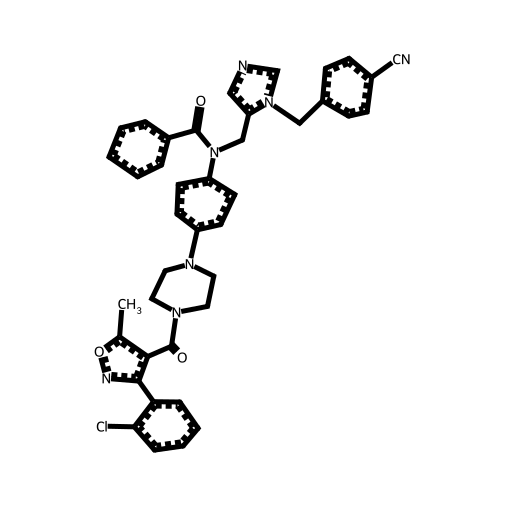 Cc1onc(-c2ccccc2Cl)c1C(=O)N1CCN(c2ccc(N(Cc3cncn3Cc3ccc(C#N)cc3)C(=O)c3ccccc3)cc2)CC1